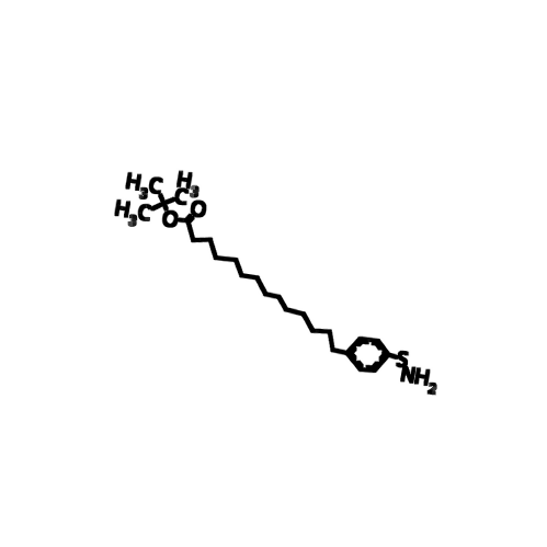 CC(C)(C)OC(=O)CCCCCCCCCCCCCc1ccc(SN)cc1